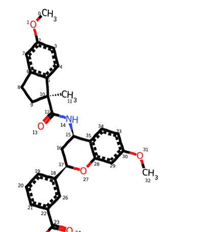 COc1ccc2c(c1)CC[C@]2(C)C(=O)N[C@@H]1C[C@H](c2cccc(C(=O)O)c2)Oc2cc(OC)ccc21